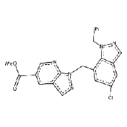 COC(=O)c1cnc2c(cnn2Cc2cc(Cl)cc3cnn(CC(C)C)c23)c1